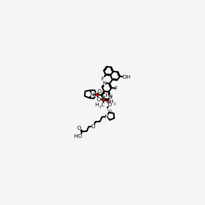 CC(C)(C)OC(=O)N1C2CCC1CN(c1nc(OC[C@@H]3CCCN3CCCOCCC(=O)O)nc3c(F)c(-c4cc(O)cc5cccc(F)c45)ncc13)C2